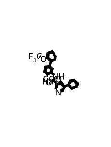 O=C(Nc1cc(-c2ccccc2OC(F)(F)F)ccc1C(=O)[O-])c1cncc(-c2ccccc2)c1.[Na+]